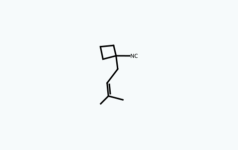 [C-]#[N+]C1(CC=C(C)C)CCC1